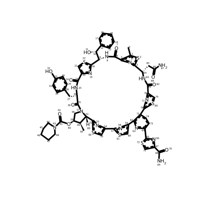 Cc1sc2nc1C(=O)N[C@@H]([C@H](O)c1ccccc1)c1nc(cs1)C(=O)N[C@@H](Cc1ccc(O)cc1)C(=O)N1C[C@H](OC(=O)N3CCCCC3)[C@H](C)[C@H]1c1nc(cs1)-c1nc(cs1)-c1nc(-c3nc(C(N)=O)cs3)ccc1-c1nc(cs1)C(=O)N[C@H]2CC(N)=O